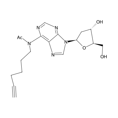 C#CCCCCN(C(C)=O)c1ncnc2c1ncn2[C@H]1C[C@H](O)[C@@H](CO)O1